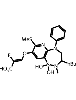 CCCCC1CN(c2ccccc2)c2nc(SC)c(OC=C(F)C(=O)O)cc2S(O)(O)N1C